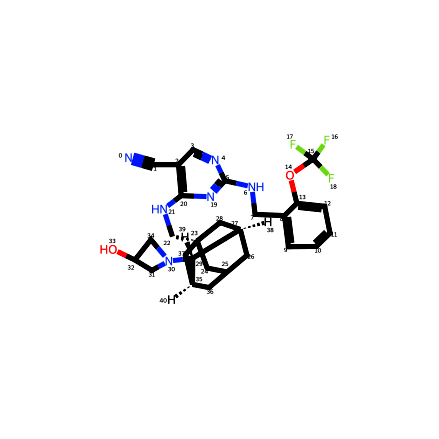 N#Cc1cnc(NCc2ccccc2OC(F)(F)F)nc1NC[C@@]12CC3C[C@H](C1)[C@@H](N1CC(O)C1)[C@@H](C3)C2